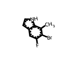 Cc1c(Br)c(F)cc2cc[nH]c12